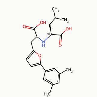 Cc1cc(C)cc(-c2ccc(CC(N[C@@H](CC(C)C)C(=O)O)C(=O)O)o2)c1